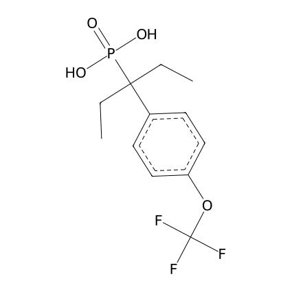 CCC(CC)(c1ccc(OC(F)(F)F)cc1)P(=O)(O)O